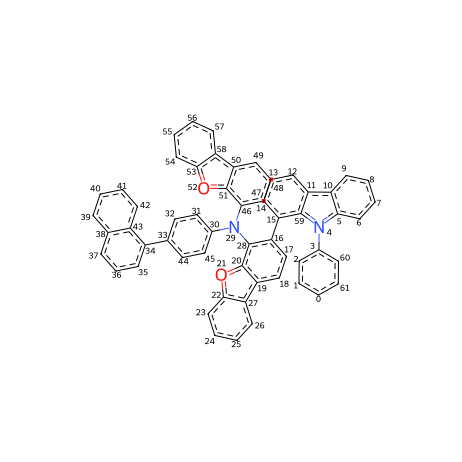 c1ccc(-n2c3ccccc3c3cccc(-c4ccc5c(oc6ccccc65)c4N(c4ccc(-c5cccc6ccccc56)cc4)c4cccc5c4oc4ccccc45)c32)cc1